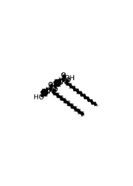 CCCCCCCCCCCCCCCCCC(=O)N[C@@H](Cc1ccc(OC(=O)[C@H](Cc2ccc(O)cc2)NC(=O)CCCCCCCCCCCCCCCCC)cc1)C(=O)O